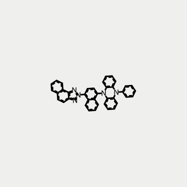 c1ccc(N2c3ccccc3N(c3ccc(-n4nc5ccc6ccccc6c5n4)c4ccccc34)c3ccccc32)cc1